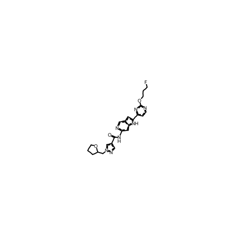 O=C(Nc1cc2[nH]c(-c3ccnc(OCCCF)n3)cc2cn1)c1cnn(CC2CCCO2)c1